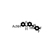 CC(=O)Nc1cccc(Nc2cc(-c3nc4cc(F)c(F)cc4[nH]3)ccc2F)c1